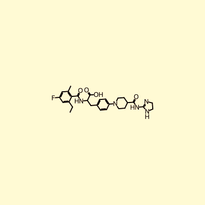 CCc1cc(F)cc(C)c1C(=O)NC(Cc1ccc(N2CCC(C(=O)NC3=NCCN3)CC2)cc1)C(=O)O